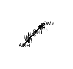 COc1ccc2c(c1)CCC1C2CC[C@]2(C)C(NCCCCCN(O)C(=O)CCC(=O)NCCCCCN(O)C(=O)CCC(=O)NCCCCCN(O)C(C)=O)CCC12